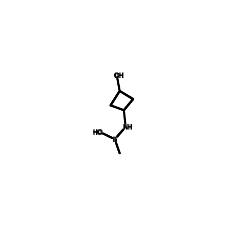 CB(O)NC1CC(O)C1